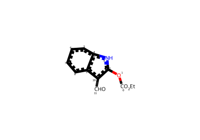 CCOC(=O)Oc1[nH]c2ccccc2c1C=O